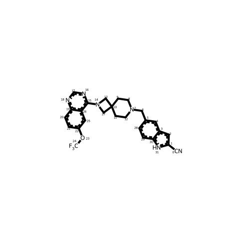 N#Cc1cc2cc(CN3CCC4(CC3)CN(c3ncnc5ccc(OC(F)(F)F)cc35)C4)ccc2[nH]1